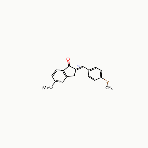 COc1ccc2c(c1)C/C(=C\c1ccc(SC(F)(F)F)cc1)C2=O